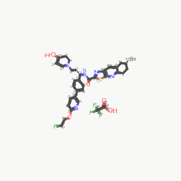 CC(C)(C)[C@H]1CCc2nc3sc(C(=O)N[C@H](CCN4CCC(O)CC4)c4ccc(-c5ccc(OCCF)nc5)cc4)nc3cc2C1.O=C(O)C(F)(F)F